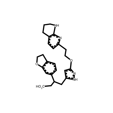 O=C(O)CC(Cc1cc(OCCc2ccc3c(n2)NCCC3)n[nH]1)c1ccc2c(c1)OCC2